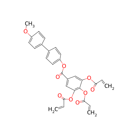 C=CC(=O)Oc1cc(C(=O)Oc2ccc(-c3ccc(OC)cc3)cc2)cc(OC(=O)C=C)c1OC(=O)C=C